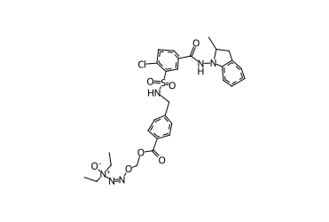 CC[N+]([O-])(CC)/N=N\OCOC(=O)c1ccc(CNS(=O)(=O)c2cc(C(=O)NN3c4ccccc4CC3C)ccc2Cl)cc1